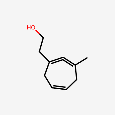 CC1=C=C(CCO)CC=CC1